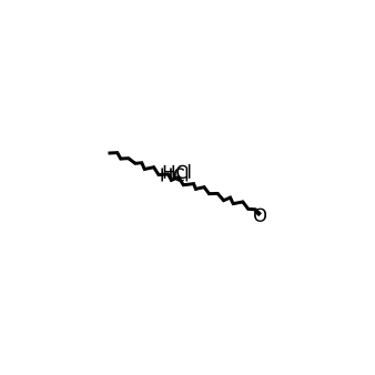 CCCCCCCCCCCCCCCCCCCCCCCC=O.Cl.Cl